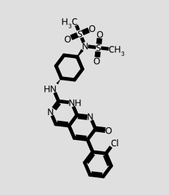 CS(=O)(=O)N([C@H]1CC[C@H](Nc2ncc3cc(-c4ccccc4Cl)c(=O)nc-3[nH]2)CC1)S(C)(=O)=O